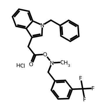 CN(Cc1cccc(C(F)(F)F)c1)OC(=O)Cc1cn(Cc2ccccc2)c2ccccc12.Cl